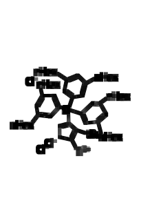 CCCCCCc1cc(CCCCCC)cc([Si](C2=CC[C]([Ti+3])=C2C(C)(C)C)(c2cc(CCCCCC)cc(CCCCCC)c2)c2cc(CCCCCC)cc(CCCCCC)c2)c1.[Cl-].[Cl-].[Cl-]